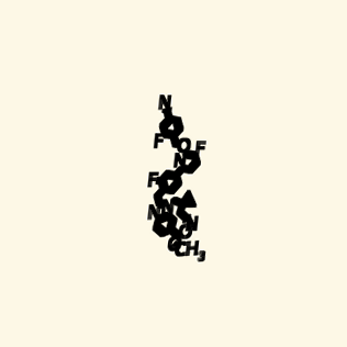 COC(=O)c1ccc2nc(Cc3ccc(-c4ccc(F)c(OCc5ccc(C#N)cc5F)n4)cc3F)n(CC3(CC#N)CC3)c2c1